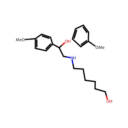 COc1ccc(C(O)CNCCCCCCO)cc1.COc1ccccc1